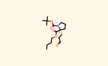 CCCCOC(=O)[C@]1(CCC=O)CCCN1C(=O)OC(C)(C)C